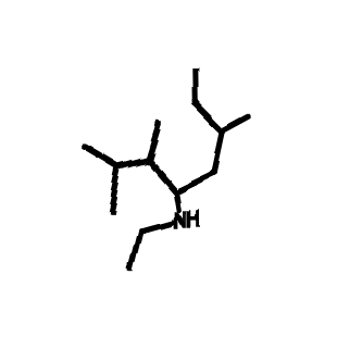 CCNC(CC(C)CC)C(C)C(C)C